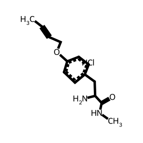 CC#CCOc1ccc(CC(N)C(=O)NC)cc1.Cl